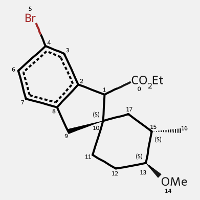 CCOC(=O)C1c2cc(Br)ccc2C[C@@]12CC[C@H](OC)[C@@H](C)C2